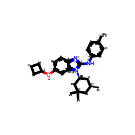 CC(C)c1ccc(Nc2nc3ccc(OC4CCC4)cc3n2[C@H]2C[C@@H](C)CC(C)(C)C2)cc1